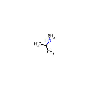 BNC(C)C